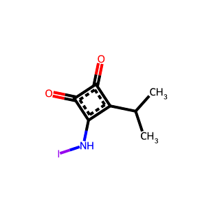 CC(C)c1c(NI)c(=O)c1=O